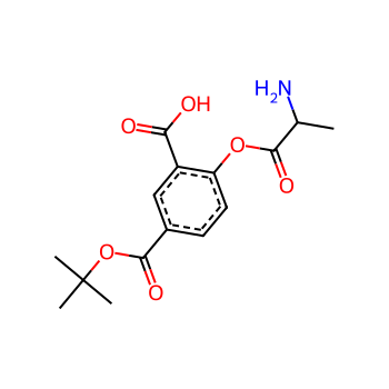 CC(N)C(=O)Oc1ccc(C(=O)OC(C)(C)C)cc1C(=O)O